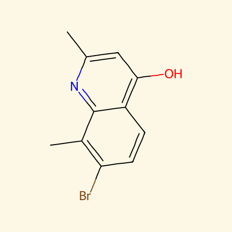 Cc1cc(O)c2ccc(Br)c(C)c2n1